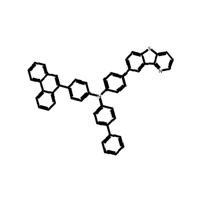 c1ccc(-c2ccc(N(c3ccc(-c4ccc5sc6cccnc6c5c4)cc3)c3ccc(-c4cc5ccccc5c5ccccc45)cc3)cc2)cc1